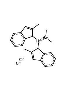 CC1=Cc2ccccc2[CH]1[Hf+2]([CH]1C(C)=Cc2ccccc21)=[Ge]([CH3])[CH3].[Cl-].[Cl-]